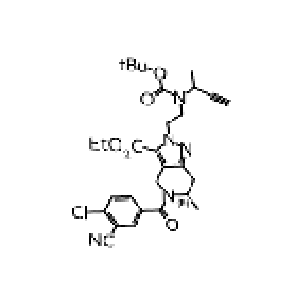 C#CC(C)N(CCn1nc2c(c1C(=O)OCC)CN(C(=O)c1ccc(Cl)c(C#N)c1)[C@H](C)C2)C(=O)OC(C)(C)C